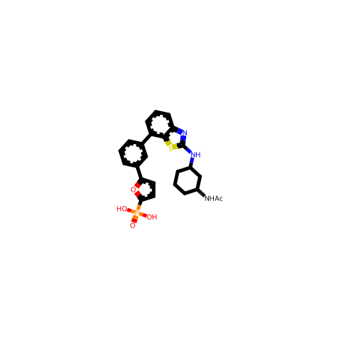 CC(=O)NC1CCCC(Nc2nc3cccc(-c4cccc(-c5ccc(P(=O)(O)O)o5)c4)c3s2)C1